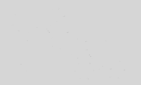 C1=CC(c2cc(-c3ccccc3)cc(-n3c4c(c5c3=CCC(C3=CC6c7ccccc7N(c7cccc8c9c(oc78)C=CCC9)C6C=C3)C=5)CCC=C4)c2)=CCC1